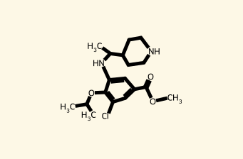 COC(=O)c1cc(Cl)c(OC(C)C)c(NC(C)C2CCNCC2)c1